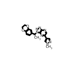 C[C@H](c1ccc2c(c1)OCCO2)n1nnc2ncc(-c3cnn(C)c3)nc21